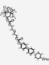 CCCCC[C@H]1CC[C@H](c2ccc(-c3ccc(OC(=O)OCCOCCOC(=O)OC4CC(C)(C)N(C)C(C)(C)C4)cc3)cc2)CC1